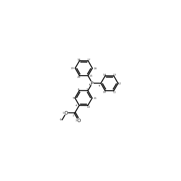 COC(=O)c1ccc(P(c2ccccc2)c2ccccc2)cc1